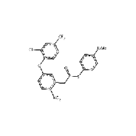 COc1ccc(SC(=O)Cc2cc(Oc3ccc(C(F)(F)F)cc3Cl)ccc2[N+](=O)[O-])cc1